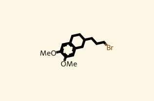 COc1cc2c(cc1OC)CC(CCCBr)CC2